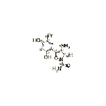 CCC1C(N)=C(c2cc(C(C)C)c(O)cc2O)ON1C(N)=O